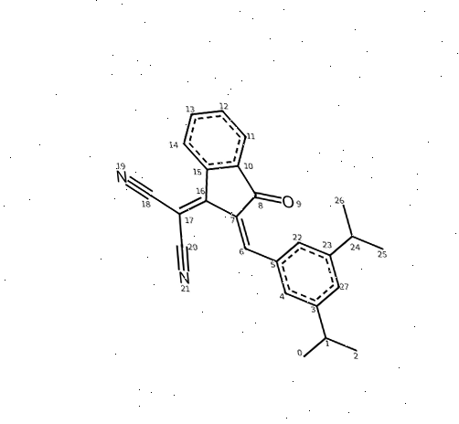 CC(C)c1cc(/C=C2\C(=O)c3ccccc3C2=C(C#N)C#N)cc(C(C)C)c1